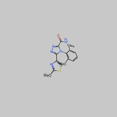 COc1nc(-c2nnc(C(N)=O)n2-c2c(OC)cccc2OC)cs1